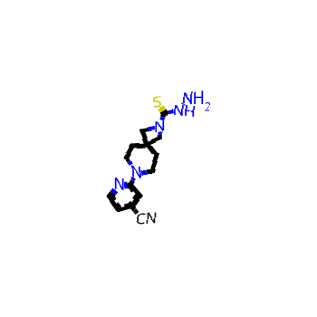 N#Cc1ccnc(N2CCC3(CC2)CN(C(=S)NN)C3)c1